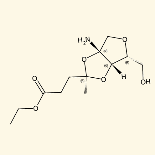 CCOC(=O)CC[C@]1(C)O[C@H]2[C@@H](CO)OC[C@@]2(N)O1